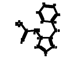 NC(=O)Nn1nnnc1Sc1ccccc1